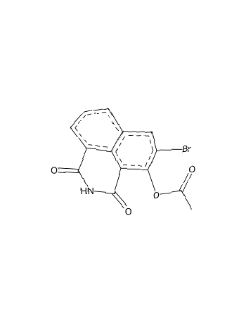 CC(=O)Oc1c(Br)cc2cccc3c2c1C(=O)NC3=O